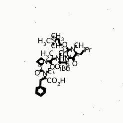 CC[C@H](C)[C@H](NC(=O)[C@H](CC(C)C)N(C)C(=O)OCC[Si](C)(C)C)C(=O)N(C)[C@@H](C)C(=O)N1CC[C@H]1C(=O)N(CC)[C@@H](Cc1ccccc1)C(=O)O